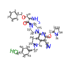 CC(OCc1ccccc1)C(N)C(=O)N1CCN(c2nc(OC[C@@H]3CCCN3C)c(C#N)c3c2CCN(Cc2ccccc2)C3)CC1.Cl